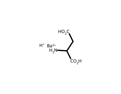 NC(CC(=O)O)C(=O)O.[Ba+2].[H+]